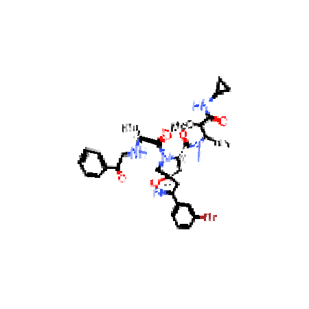 CCCC(NC(=O)[C@@H]1C[C@]2(CC(c3cccc(Br)c3)=NO2)CN1C(=O)[C@@H](NCC(=O)c1ccccc1)C(C)(C)C)C(OC)C(=O)NC1CC1